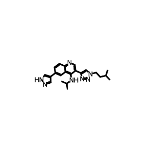 CC(C)CCn1cc(-c2cnc3ccc(-c4cn[nH]c4)cc3c2NC(C)C)nn1